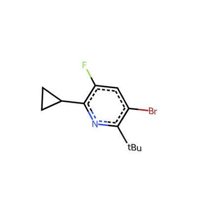 CC(C)(C)c1nc(C2CC2)c(F)cc1Br